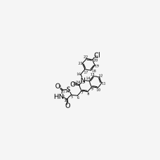 O=C1NC(=O)C(Cc2cc3ccccc3n(Cc3ccc(Cl)cc3)c2=O)S1